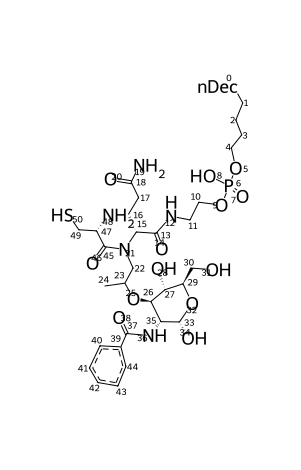 CCCCCCCCCCCCCCOP(=O)(O)OCCNC(=O)[C@@H](CCC(N)=O)N(CC(C)O[C@H]1[C@H](O)[C@@H](CO)O[C@H](O)[C@@H]1NC(=O)c1ccccc1)C(=O)[C@@H](N)CS